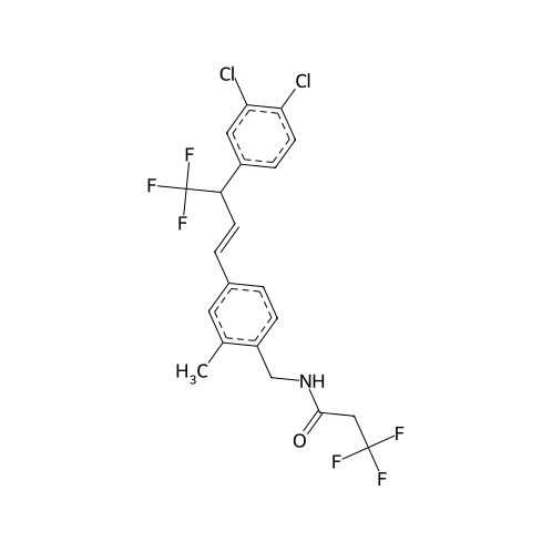 Cc1cc(/C=C/C(c2ccc(Cl)c(Cl)c2)C(F)(F)F)ccc1CNC(=O)CC(F)(F)F